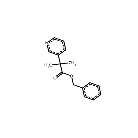 CC(C)(C(=O)OCc1ccccc1)c1cccnc1